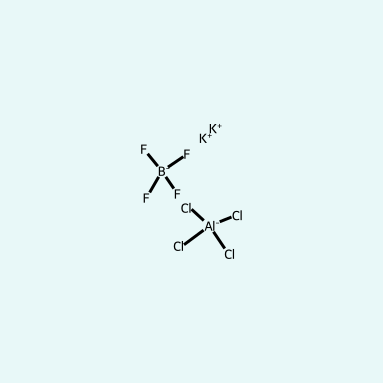 F[B-](F)(F)F.[Cl][Al-]([Cl])([Cl])[Cl].[K+].[K+]